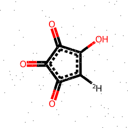 [2H]c1c(O)c(=O)c(=O)c1=O